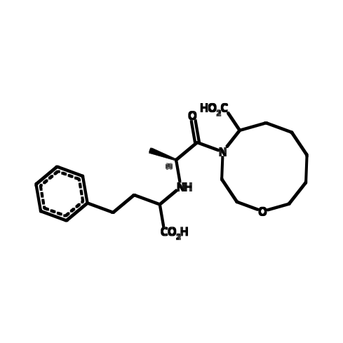 C[C@H](NC(CCc1ccccc1)C(=O)O)C(=O)N1CCOCCCCCC1C(=O)O